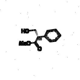 COC(=O)[C@H](CO)c1ccccc1